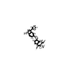 N#Cc1c(F)nc2c(c1F)CC[C@@H]2Oc1ccc2[nH]nc(-c3cnco3)c2c1